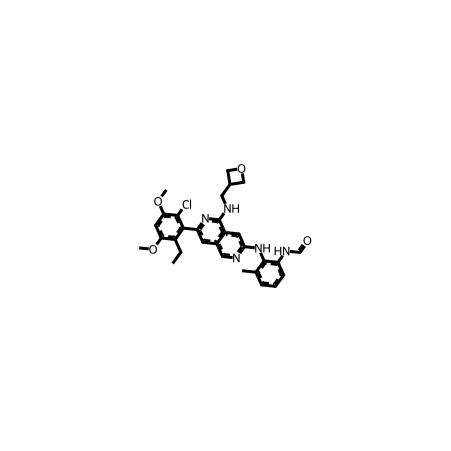 CCc1c(OC)cc(OC)c(Cl)c1-c1cc2cnc(Nc3c(C)cccc3NC=O)cc2c(NCC2COC2)n1